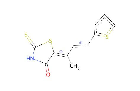 CC(/C=C/c1cccs1)=C1/SC(=S)NC1=O